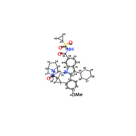 COc1ccc2c(c1)C1CC1(C(=O)N1C3CCC1CN(C)C3)Cn1c-2c(C2CCCCC2)c2ccc(C(=O)NS(=O)(=O)C3CC3)cc21